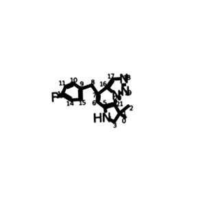 CC1(C)CNc2cc(Cc3ccc(F)cc3)c3cnnn3c21